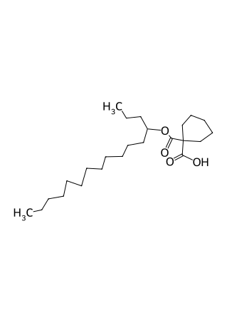 CCCCCCCCCCCCC(CCC)OC(=O)C1(C(=O)O)CCCCC1